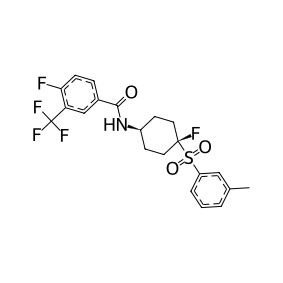 Cc1cccc(S(=O)(=O)[C@]2(F)CC[C@@H](NC(=O)c3ccc(F)c(C(F)(F)F)c3)CC2)c1